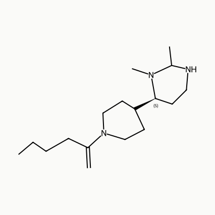 C=C(CCCC)N1CCC([C@@H]2CCNC(C)N2C)CC1